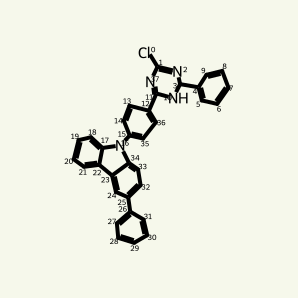 ClC1=NC(c2ccccc2)NC(c2ccc(-n3c4ccccc4c4cc(-c5ccccc5)ccc43)cc2)=N1